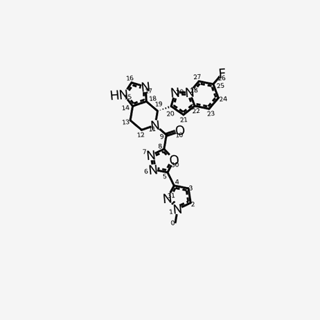 Cn1ccc(-c2nnc(C(=O)N3CCc4[nH]cnc4[C@@H]3c3cc4ccc(F)cn4n3)o2)n1